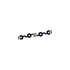 C(=C\c1ccc(CSSCc2ccc(/C=C/c3ccncc3)cc2)cc1)/c1ccncc1